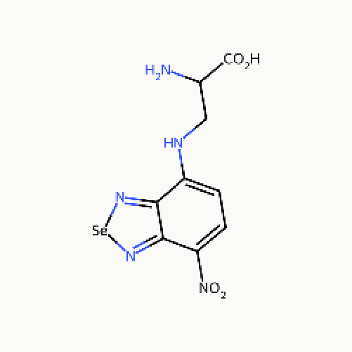 NC(CNc1ccc([N+](=O)[O-])c2n[se]nc12)C(=O)O